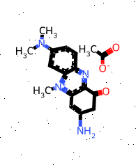 CC(=O)[O-].CN(C)c1ccc2nc3c([n+](C)c2c1)C=C(N)CC3=O